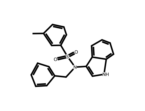 Cc1cccc(S(=O)(=O)N(Cc2ccccc2)c2c[nH]c3ccccc23)c1